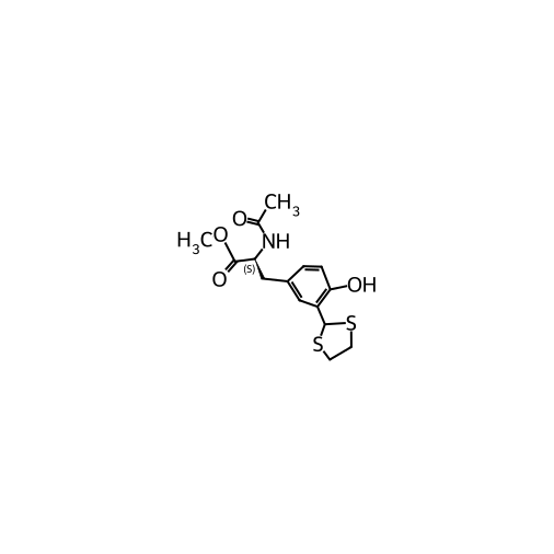 COC(=O)[C@H](Cc1ccc(O)c(C2SCCS2)c1)NC(C)=O